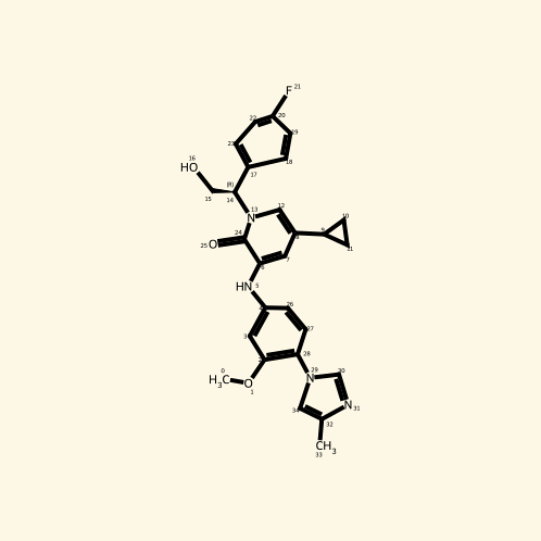 COc1cc(Nc2cc(C3CC3)cn([C@@H](CO)c3ccc(F)cc3)c2=O)ccc1-n1cnc(C)c1